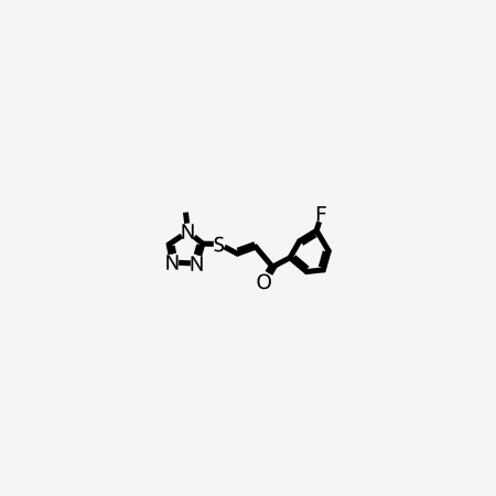 Cn1cnnc1S/C=C/C(=O)c1cccc(F)c1